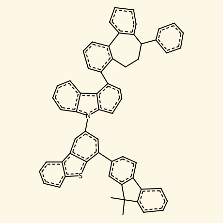 CC1(C)c2ccccc2-c2ccc(-c3cc(-n4c5ccccc5c5c(-c6cccc7c6CCC(c6ccccc6)c6ccccc6-7)cccc54)cc4c3sc3ccccc34)cc21